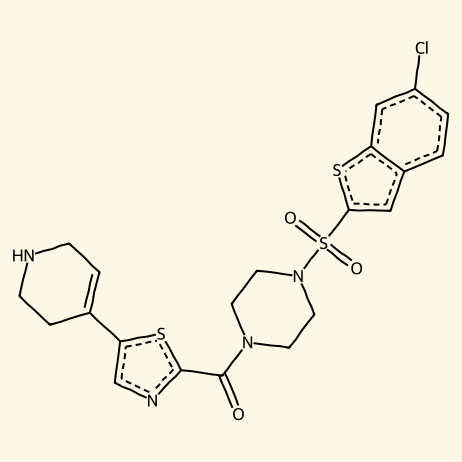 O=C(c1ncc(C2=CCNCC2)s1)N1CCN(S(=O)(=O)c2cc3ccc(Cl)cc3s2)CC1